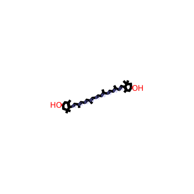 CC1=C(/C=C/C(C)=C/C=C/C(C)=C/C=C/C=C(C)/C=C/C=C(C)/C=C/C2=C(C)CC(O)CC2(C)C)C(C)(C)CC(O)C1